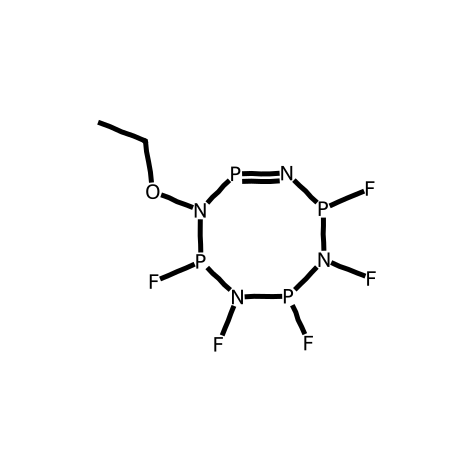 CCOn1pnp(F)n(F)p(F)n(F)p1F